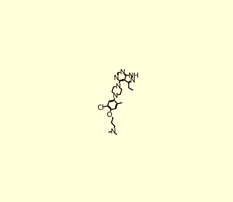 CCc1n[nH]c2ncnc(N3CCN(c4cc(Cl)c(OCCCN(C)C)cc4C)CC3)c12